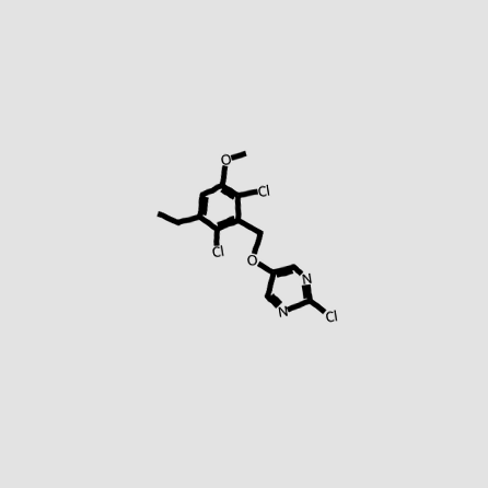 CCc1cc(OC)c(Cl)c(COc2cnc(Cl)nc2)c1Cl